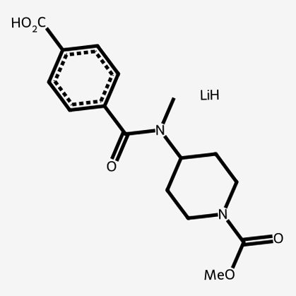 COC(=O)N1CCC(N(C)C(=O)c2ccc(C(=O)O)cc2)CC1.[LiH]